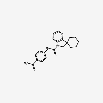 CC(=O)c1ccc(NC(=O)NCC2(c3ccccc3)CCCCC2)cc1